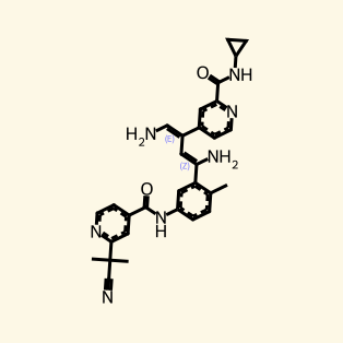 Cc1ccc(NC(=O)c2ccnc(C(C)(C)C#N)c2)cc1/C(N)=C/C(=C\N)c1ccnc(C(=O)NC2CC2)c1